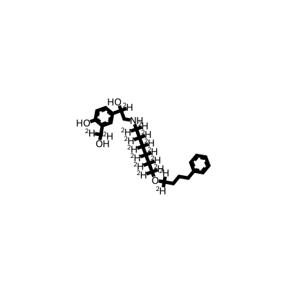 [2H]C([2H])(CCCc1ccccc1)OC([2H])([2H])C([2H])([2H])C([2H])([2H])C([2H])([2H])C([2H])([2H])C([2H])([2H])NCC([2H])(O)c1ccc(O)c(C([2H])([2H])O)c1